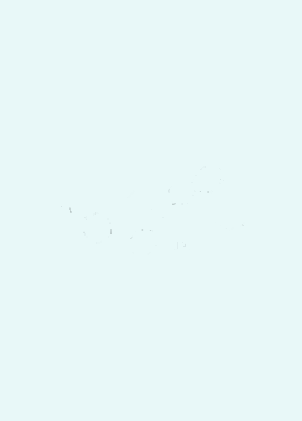 C=CCCCCC(C1=CC=CC1)(c1ccc2ccccc2c1)c1c(C(C)(C)C)ccc2c1Cc1cc(C(C)(C)C)ccc1-2